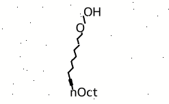 CCCCCCCCC#CCCCCCCCCOCCO